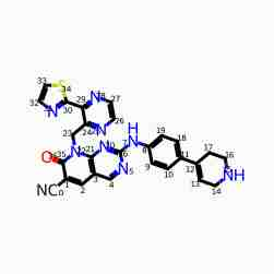 N#Cc1cc2cnc(Nc3ccc(C4=CCNCC4)cc3)nc2n(Cc2nccnc2-c2nccs2)c1=O